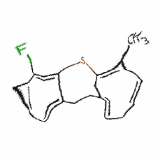 Cc1cccc2c1sc1c(F)cccc12